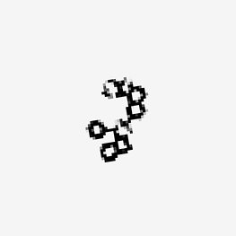 c1ccc(-c2nc(-c3ccc4ccc5oc6ccccc6c5c4c3)nc3ccc4ccccc4c23)cc1